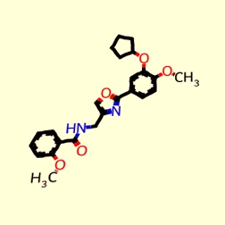 COc1ccc(-c2nc(CNC(=O)c3ccccc3OC)co2)cc1OC1CCCC1